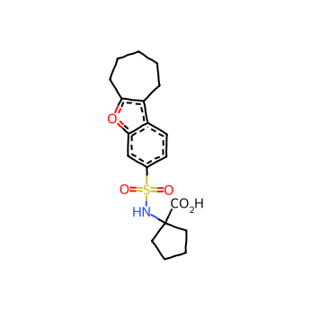 O=C(O)C1(NS(=O)(=O)c2ccc3c4c(oc3c2)CCCCC4)CCCC1